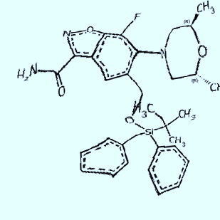 C[C@@H]1CN(c2c(CO[Si](c3ccccc3)(c3ccccc3)C(C)(C)C)cc3c(C(N)=O)noc3c2F)C[C@@H](C)O1